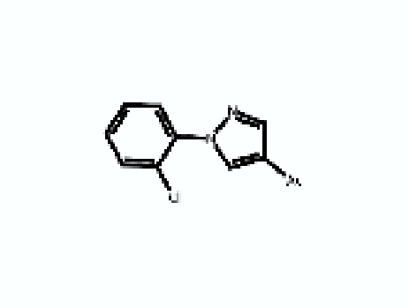 CC(=O)c1cnn(-c2ccccc2Cl)c1